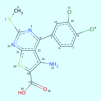 CSc1nc(-c2ccc(Cl)c(Cl)c2)c2c(N)c(C(=O)O)sc2n1